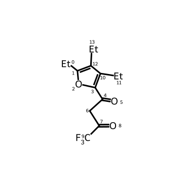 CCc1oc(C(=O)CC(=O)C(F)(F)F)c(CC)c1CC